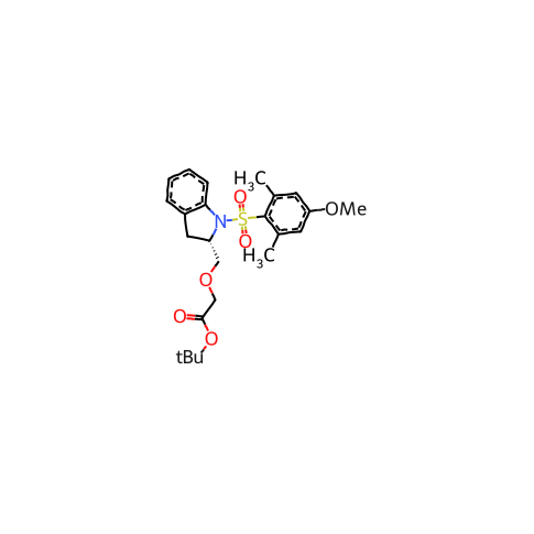 COc1cc(C)c(S(=O)(=O)N2c3ccccc3C[C@H]2COCC(=O)OC(C)(C)C)c(C)c1